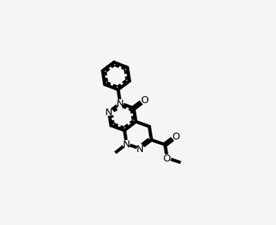 COC(=O)C1=NN(C)c2cnn(-c3ccccc3)c(=O)c2C1